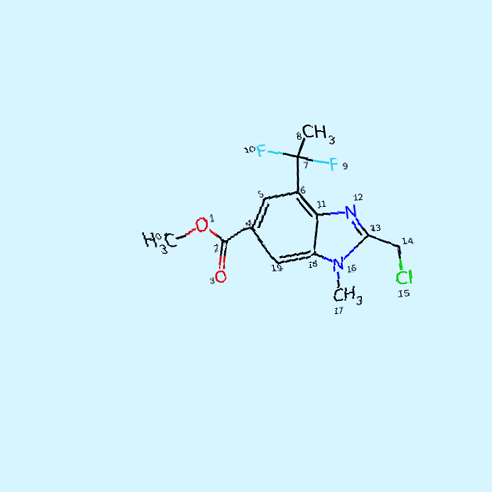 COC(=O)c1cc(C(C)(F)F)c2nc(CCl)n(C)c2c1